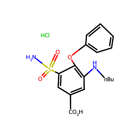 CCCCNc1cc(C(=O)O)cc(S(N)(=O)=O)c1Oc1ccccc1.Cl